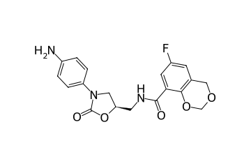 Nc1ccc(N2C[C@@H](CNC(=O)c3cc(F)cc4c3OCOC4)OC2=O)cc1